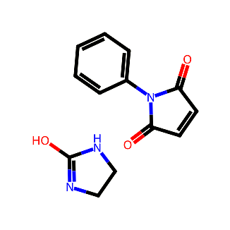 O=C1C=CC(=O)N1c1ccccc1.OC1=NCCN1